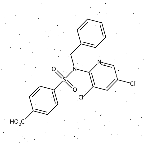 O=C(O)c1ccc(S(=O)(=O)N(Cc2ccccc2)c2ncc(Cl)cc2Cl)cc1